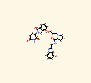 O=C1CCC(N2Cc3c(OCCCN4CCCC4C(=O)NCc4nc5cccc(Br)c5[nH]4)cccc3C2=O)C(=O)N1